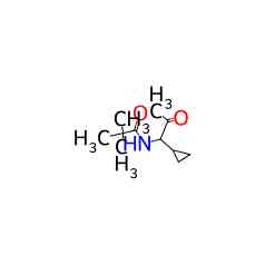 CC(=O)C(NC(=O)C(C)(C)C)C1CC1